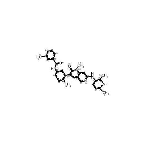 Cc1ccc(Nc2cc3c(cn2)cc(-c2cc(NC(=O)c4cccc(C(F)(F)F)c4)ccc2C)c(=O)n3C)c(C)n1